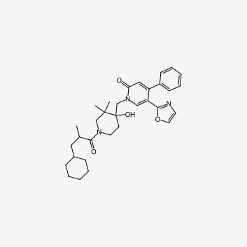 CC(CC1CCCCC1)C(=O)N1CCC(O)(Cn2cc(-c3ncco3)c(-c3ccccc3)cc2=O)C(C)(C)C1